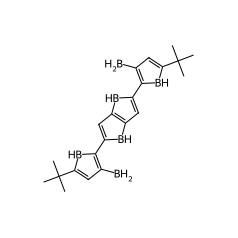 BC1=C(C2=CC3=C(B2)C=C(C2=C(B)C=C(C(C)(C)C)B2)B3)BC(C(C)(C)C)=C1